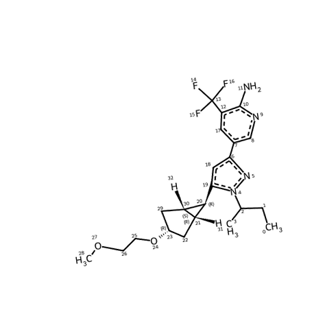 CCC(C)n1nc(-c2cnc(N)c(C(F)(F)F)c2)cc1[C@H]1[C@@H]2C[C@H](OCCOC)C[C@@H]21